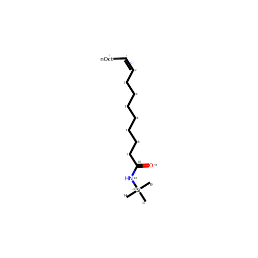 CCCCCCCC/C=C\CCCCCCCC(=O)N[Si](C)(C)C